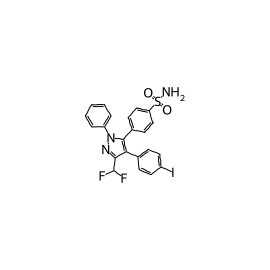 NS(=O)(=O)c1ccc(-c2c(-c3ccc(I)cc3)c(C(F)F)nn2-c2ccccc2)cc1